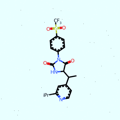 CC(C)c1cc(C(C)C2NC(=O)N(c3ccc(S(=O)(=O)C(F)(F)F)cc3)C2=O)ccn1